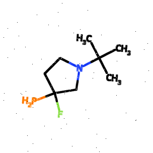 CC(C)(C)N1CCC(F)(P)C1